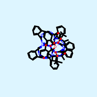 CC(C)[Si](O[Si]1(O[Si]2(O[Si](C(C)C)(C(C)C)C(C)C)n3c4c5ccccc5c3/N=C3N=C(/N=c5/c6ccccc6/c(n52)=N/C2=NC(=N\4)/c4ccccc42)c2ccccc2\3)n2c3c4ccccc4c2/N=C2N=C(/N=c4/c5ccccc5/c(n41)=N/C1=NC(=N\3)/c3ccccc31)c1ccccc1\2)(C(C)C)C(C)C